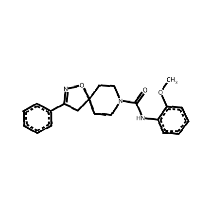 COc1ccccc1NC(=O)N1CCC2(CC1)CC(c1ccccc1)=NO2